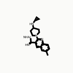 CC(=O)NC(=N)c1cc2cc(C)ccc2nc1N1CCC(NC2CC2)CC1